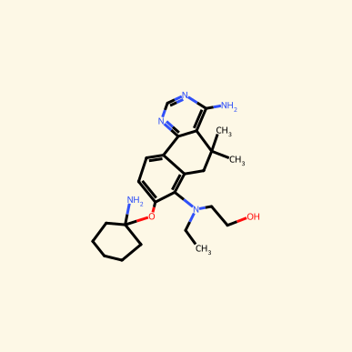 CCN(CCO)c1c(OC2(N)CCCCC2)ccc2c1CC(C)(C)c1c(N)ncnc1-2